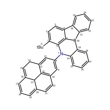 CC(C)(C)c1ccc2c3c1N(c1cc4c5c(c1)CC=C1C=CC=C(C=C4)C15)c1ccccc1B3c1ccccc1-2